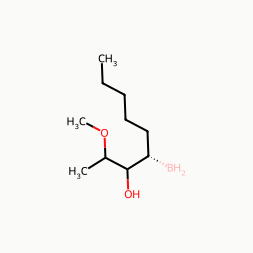 B[C@@H](CCCCC)C(O)C(C)OC